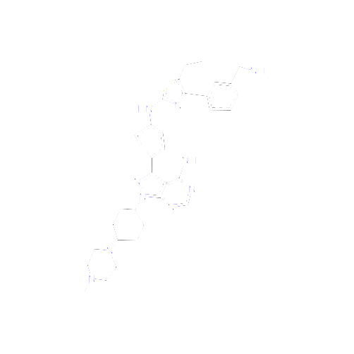 CCc1sc(Nc2ccc(-c3nn(C4CCC(N5CCN(C)CC5)CC4)c4ncnc(N)c34)cc2)nc1-c1cccc(CN)c1